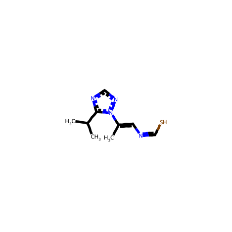 C/C(=C\N=C/S)n1ncnc1C(C)C